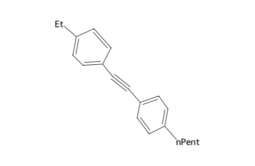 CCCCCc1ccc(C#Cc2ccc(CC)cc2)cc1